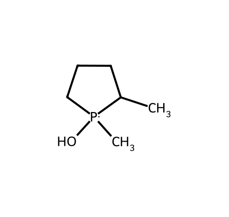 CC1CCC[P]1(C)O